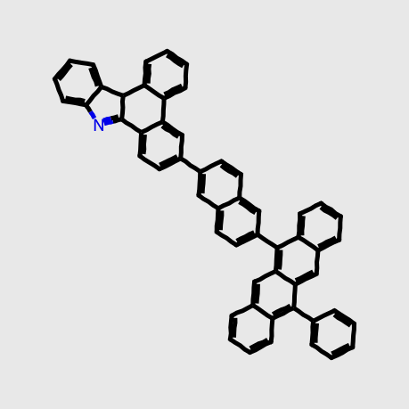 c1ccc(-c2c3ccccc3cc3c(-c4ccc5cc(-c6ccc7c(c6)-c6ccccc6C6C7=Nc7ccccc76)ccc5c4)c4ccccc4cc23)cc1